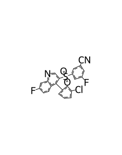 N#Cc1cc(F)cc(S(=O)(=O)c2cnc3cc(F)ccc3c2-c2cccc(Cl)c2)c1